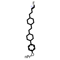 CCCOc1ccc(C2CCC(CCC3CCC(CC/C=C/F)CC3)CC2)cc1